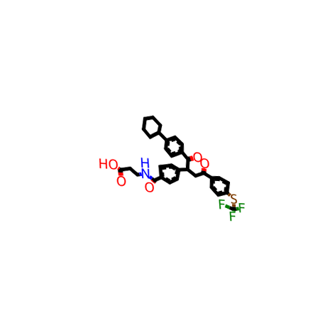 O=C(O)CCNC(=O)c1ccc(C(CC(=O)c2ccc(SC(F)(F)F)cc2)C(=O)c2ccc(C3CCCCC3)cc2)cc1